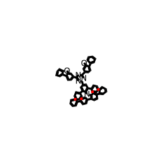 c1ccc(-c2ccc3c4ccc(-c5ccccc5)cc4n(-c4c(-c5ccccc5)cc(-c5nc(-c6ccc7c(c6)oc6ccccc67)nc(-c6ccc7c(c6)oc6ccccc67)n5)cc4-c4ccccc4)c3c2)cc1